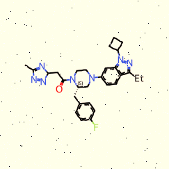 CCc1nn(C2CCC2)c2cc(N3CCN(C(=O)CC4N=NC(C)=N4)[C@@H](Cc4ccc(F)cc4)C3)ccc12